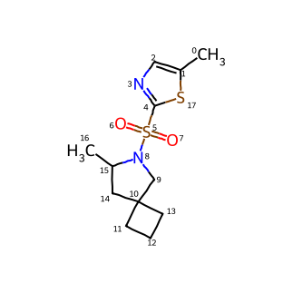 Cc1cnc(S(=O)(=O)N2CC3(CCC3)CC2C)s1